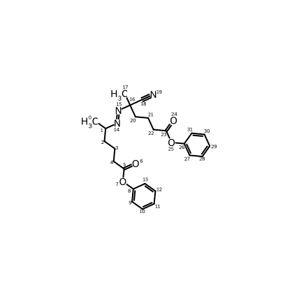 CC(CCCC(=O)Oc1ccccc1)/N=N/C(C)(C#N)CCCC(=O)Oc1ccccc1